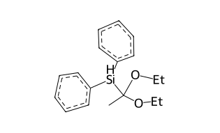 CCOC(C)(OCC)[SiH](c1ccccc1)c1ccccc1